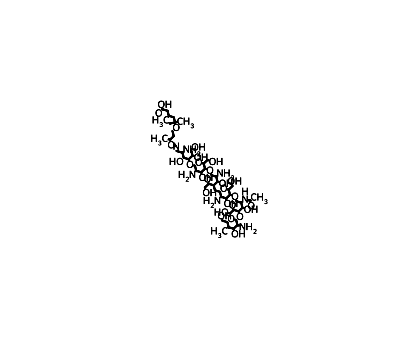 CCC(C)(CCCC(=O)O)OCCC(C)O/N=C/C(N)C(O)C(OC1OC(CO)C(OC2OC(CO)C(CC3OC(CO)C(OC4OC(CO)C(OC5OC(CO)C(C)C(O)C5N)C(O)C4NC(C)=O)C(O)C3N)C(O)C2N)C(O)C1N)C(O)CO